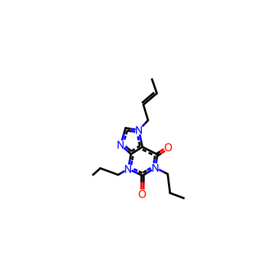 CC=CCn1cnc2c1c(=O)n(CCC)c(=O)n2CCC